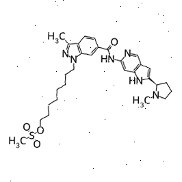 Cc1nn(CCCCCCCCOS(C)(=O)=O)c2cc(C(=O)Nc3cc4[nH]c([C@H]5CCCN5C)cc4cn3)ccc12